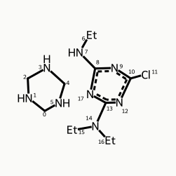 C1NCNCN1.CCNc1nc(Cl)nc(N(CC)CC)n1